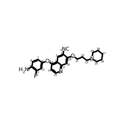 [C-]#[N+]c1cc2c(Oc3ccc(N)c(F)c3)ccnc2cc1OCCCN1CCCCC1